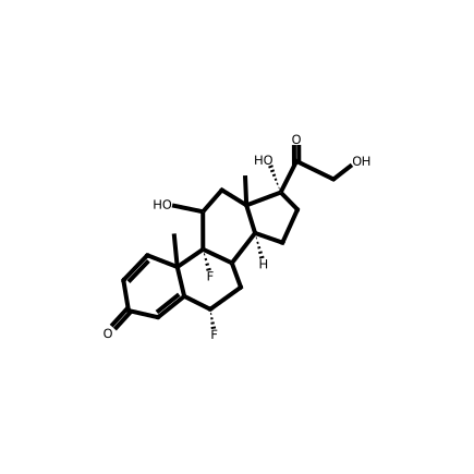 CC12C=CC(=O)C=C1[C@@H](F)CC1[C@@H]3CC[C@](O)(C(=O)CO)C3(C)CC(O)[C@@]12F